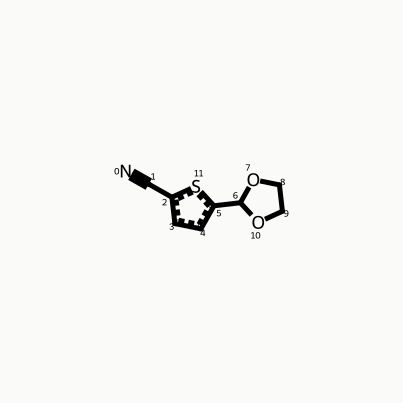 N#Cc1ccc(C2OCCO2)s1